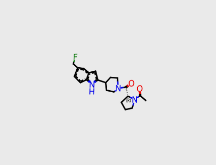 CC(=O)N1CCC[C@@H]1C(=O)N1CCC(c2cc3cc(CF)ccc3[nH]2)CC1